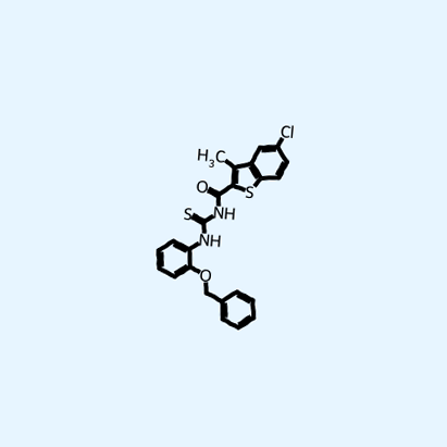 Cc1c(C(=O)NC(=S)Nc2ccccc2OCc2ccccc2)sc2ccc(Cl)cc12